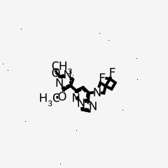 COc1ncc(-c2cc(N3CC4(CCC4(F)F)C3)c3nccn3n2)c(OC)n1